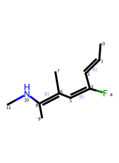 C/C=C/C(F)=C\C(C)=C(/C)NC